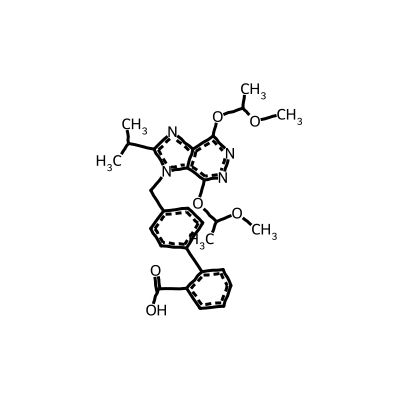 COC(C)Oc1nnc(OC(C)OC)c2c1nc(C(C)C)n2Cc1ccc(-c2ccccc2C(=O)O)cc1